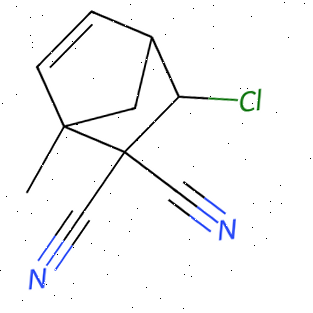 CC12C=CC(C1)C(Cl)C2(C#N)C#N